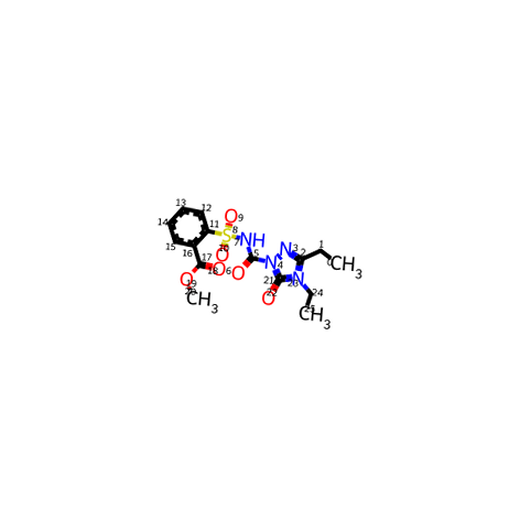 CCc1nn(C(=O)NS(=O)(=O)c2ccccc2C(=O)OC)c(=O)n1CC